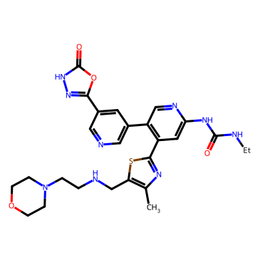 CCNC(=O)Nc1cc(-c2nc(C)c(CNCCN3CCOCC3)s2)c(-c2cncc(-c3n[nH]c(=O)o3)c2)cn1